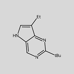 CCc1c[nH]c2cnc(C(C)(C)C)nc12